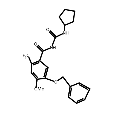 COc1cc(C(F)(F)F)c(C(=O)NC(=O)NC2CCCC2)cc1OCc1ccccc1